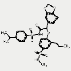 CCCc1cc(S(=O)(=O)NC)ccc1OC(C(=O)NS(=O)(=O)c1ccc(C(C)C)cc1)c1ccc2c(c1)OCO2